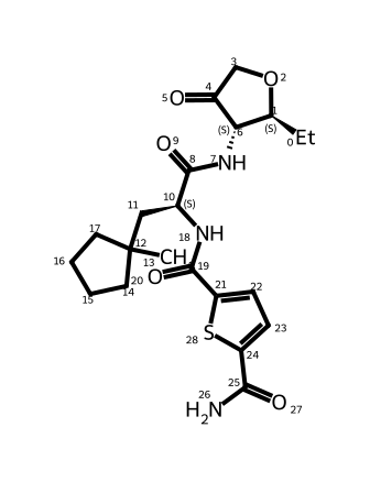 CC[C@@H]1OCC(=O)[C@H]1NC(=O)[C@H](CC1(C)CCCC1)NC(=O)c1ccc(C(N)=O)s1